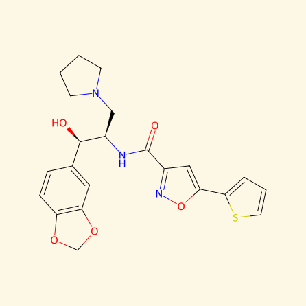 O=C(N[C@H](CN1CCCC1)[C@H](O)c1ccc2c(c1)OCO2)c1cc(-c2cccs2)on1